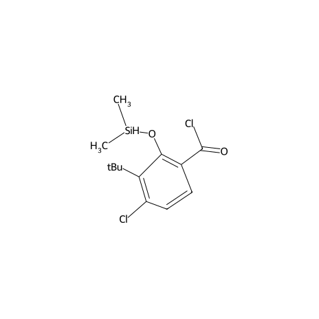 C[SiH](C)Oc1c(C(=O)Cl)ccc(Cl)c1C(C)(C)C